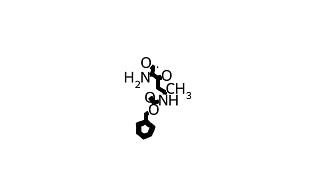 CC(CC(=O)C(N)[C]=O)NC(=O)OCc1ccccc1